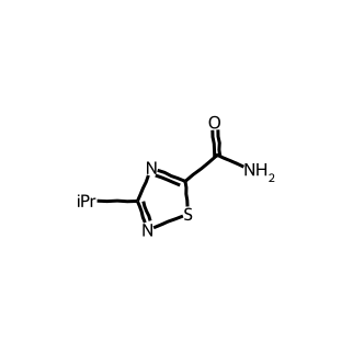 CC(C)c1nsc(C(N)=O)n1